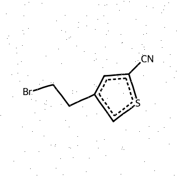 N#Cc1cc(CCBr)cs1